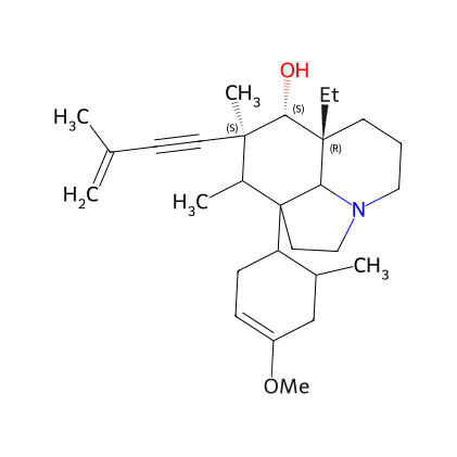 C=C(C)C#C[C@]1(C)C(C)C2(C3CC=C(OC)CC3C)CCN3CCC[C@](CC)(C32)[C@H]1O